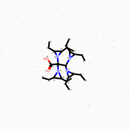 CCC1C(CC)N1C(N1C(CC)C1CC)C(C(=O)O)(N1C(CC)C1CC)N1C(CC)C1CC